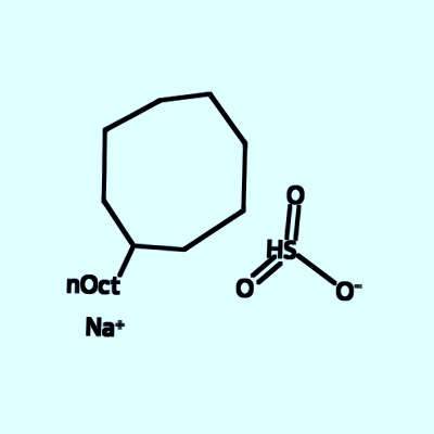 CCCCCCCCC1CCCCCCC1.O=[SH](=O)[O-].[Na+]